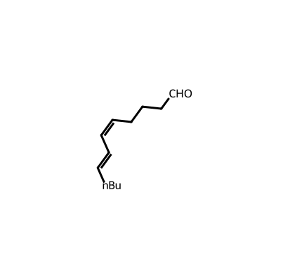 CCCC/C=C/C=C\CCCC=O